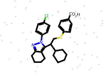 O=C(O)c1ccc(SCC(c2c3c(nn2-c2ccc(Cl)cc2)CCCC3)C2CCCCC2)cc1